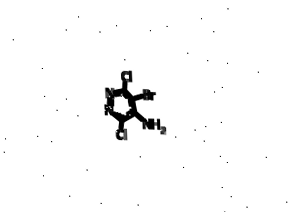 Nc1c(Cl)nnc(Cl)c1Br